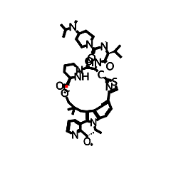 CCn1c(-c2cccnc2[C@H](C)OC)c2c3cc(ccc31)-c1csc(n1)C[C@H](NC(=O)[C@H](C(C)C)N(C)C(=O)N1CCC(N(C)C(C)C)CC1)C(=O)N1CCCC(C=O)(COCC(C)(C)C2)N1